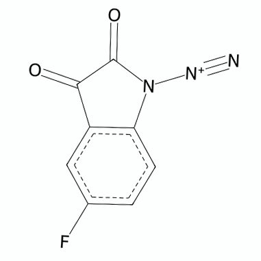 N#[N+]N1C(=O)C(=O)c2cc(F)ccc21